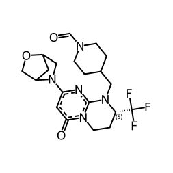 O=CN1CCC(CN2c3nc(N4CC5CC4CO5)cc(=O)n3CC[C@H]2C(F)(F)F)CC1